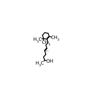 CC1=C(CC/C=C/CCC(C)O)C(C)(C)CCC1